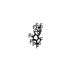 O=S(=O)(Cc1c(F)c(F)c(C(F)(F)F)c(F)c1F)C(F)(F)F